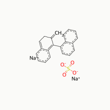 C=C1CC=c2ccccc2=C1c1cccc2ccccc12.O=S(=O)([O-])[O-].[Na+].[Na+]